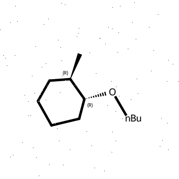 CCCCO[C@@H]1CCCC[C@H]1C